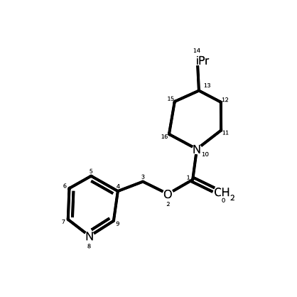 C=C(OCc1cccnc1)N1CCC(C(C)C)CC1